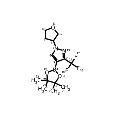 CC1(C)OB(c2cn(C3CCOC3)nc2C(F)(F)F)OC1(C)C